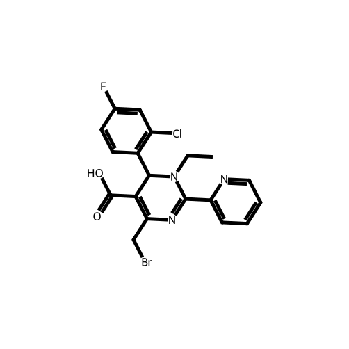 CCN1C(c2ccccn2)=NC(CBr)=C(C(=O)O)C1c1ccc(F)cc1Cl